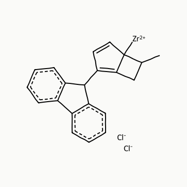 CC1CC2=C(C3c4ccccc4-c4ccccc43)C=C[C]21[Zr+2].[Cl-].[Cl-]